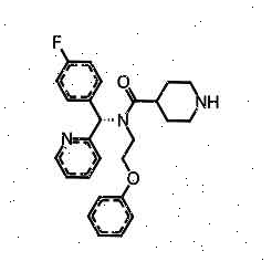 O=C(C1CCNCC1)N(CCOc1ccccc1)[C@@H](c1ccc(F)cc1)c1ccccn1